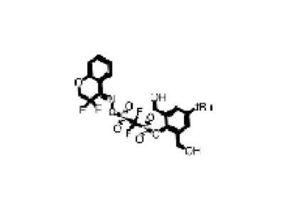 CC(C)(C)c1cc(CO)c(OS(=O)(=O)C(F)(F)S(=O)(=O)O/N=C2/c3ccccc3OCC2(F)F)c(CO)c1